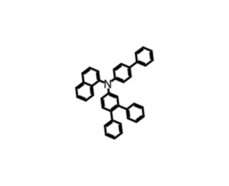 c1ccc(-c2ccc(N(c3ccc(-c4ccccc4)c(-c4ccccc4)c3)c3cccc4ccccc34)cc2)cc1